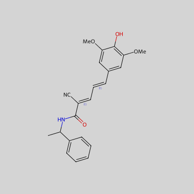 COc1cc(/C=C/C=C(\C#N)C(=O)NC(C)c2ccccc2)cc(OC)c1O